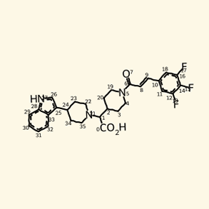 O=C(O)C(C1CCN(C(=O)C=Cc2cc(F)c(F)c(F)c2)CC1)N1CCC(c2c[nH]c3ccccc23)CC1